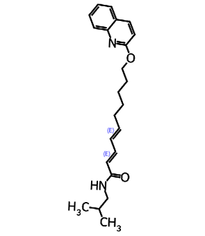 CC(C)CNC(=O)/C=C/C=C/CCCCCOc1ccc2ccccc2n1